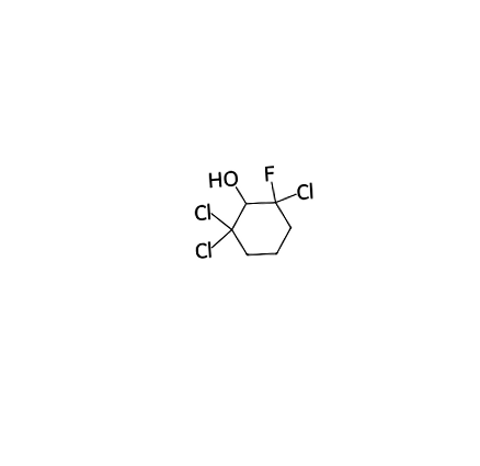 OC1C(F)(Cl)CCCC1(Cl)Cl